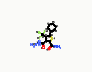 NNC(=O)c1c(C(N)=O)sc(-c2ccccc2)c1C(F)(F)F